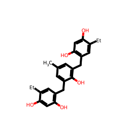 CCc1cc(Cc2cc(C)cc(Cc3cc(CC)c(O)cc3O)c2O)c(O)cc1O